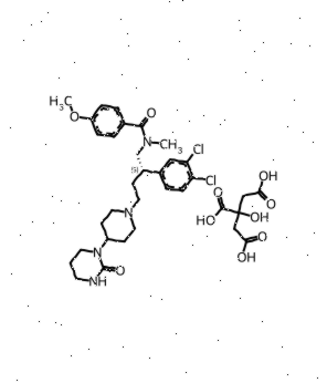 COc1ccc(C(=O)N(C)C[C@@H](CCN2CCC(N3CCCNC3=O)CC2)c2ccc(Cl)c(Cl)c2)cc1.O=C(O)CC(O)(CC(=O)O)C(=O)O